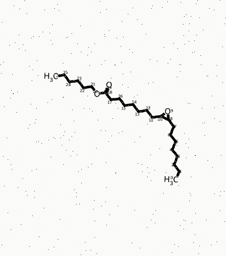 CCCCCCCCC1OC1CCCCCCCC(=O)OCCCCCC